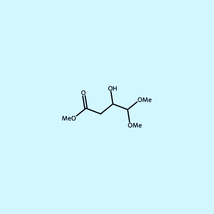 COC(=O)CC(O)C(OC)OC